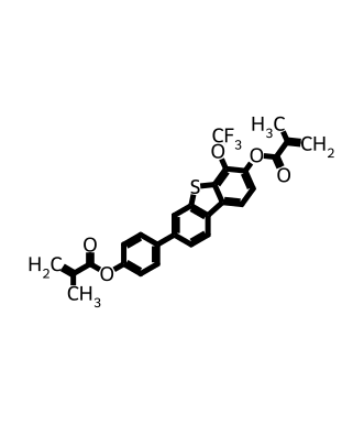 C=C(C)C(=O)Oc1ccc(-c2ccc3c(c2)sc2c(OC(F)(F)F)c(OC(=O)C(=C)C)ccc23)cc1